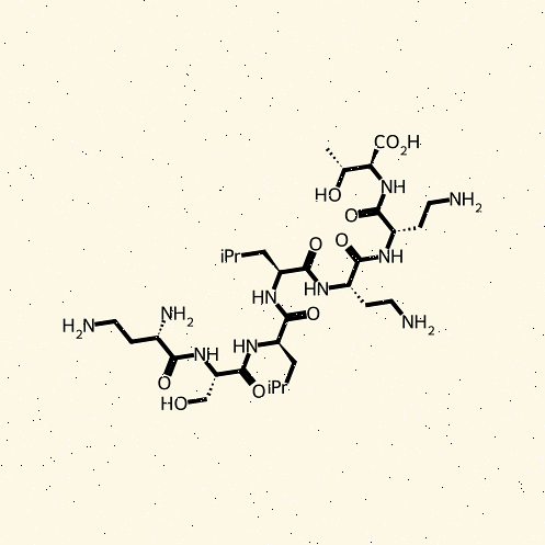 CC(C)C[C@H](NC(=O)[C@@H](CC(C)C)NC(=O)[C@H](CO)NC(=O)[C@@H](N)CCN)C(=O)N[C@@H](CCN)C(=O)N[C@@H](CCN)C(=O)N[C@H](C(=O)O)[C@@H](C)O